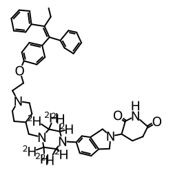 [2H]C1([2H])N(CC2CCN(CCOc3ccc(C(=C(CC)c4ccccc4)c4ccccc4)cc3)CC2)C([2H])([2H])C([2H])([2H])N(c2ccc3c(c2)CN(C2CCC(=O)NC2=O)C3)C1([2H])[2H]